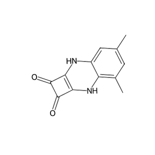 Cc1cc(C)c2c(c1)Nc1c(c(=O)c1=O)N2